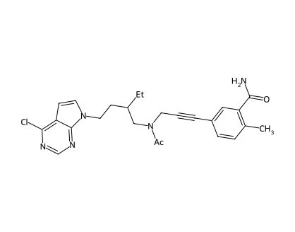 CCC(CCn1ccc2c(Cl)ncnc21)CN(CC#Cc1ccc(C)c(C(N)=O)c1)C(C)=O